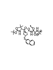 C=CC1CC1(NC(=O)[C@@H]1C[C@@H](Sc2ccc3ccccc3c2)CN1C(=O)C(NC(=O)OC(C)(C)C)C(C)(C)C)C(=O)NS(C)(=O)=O